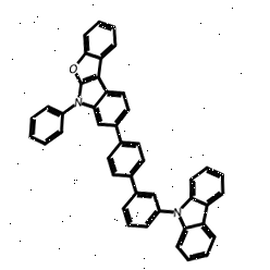 c1ccc(-n2c3cc(-c4ccc(-c5cccc(-n6c7ccccc7c7ccccc76)c5)cc4)ccc3c3c4ccccc4oc32)cc1